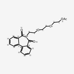 CC(=O)OCCOCCOCCn1c(=O)c2ccccc2c2ccccc2c1=O